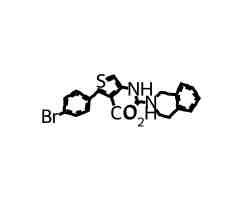 O=C(O)c1c(NC(=O)N2CCc3ccccc3C2)csc1-c1ccc(Br)cc1